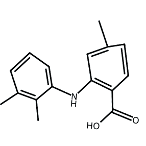 Cc1ccc(C(=O)O)c(Nc2cccc(C)c2C)c1